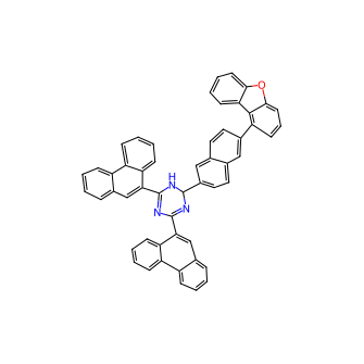 c1ccc2c(c1)cc(C1=NC(c3ccc4cc(-c5cccc6oc7ccccc7c56)ccc4c3)NC(c3cc4ccccc4c4ccccc34)=N1)c1ccccc12